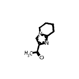 CC(=O)c1cn2c(n1)CCCC2